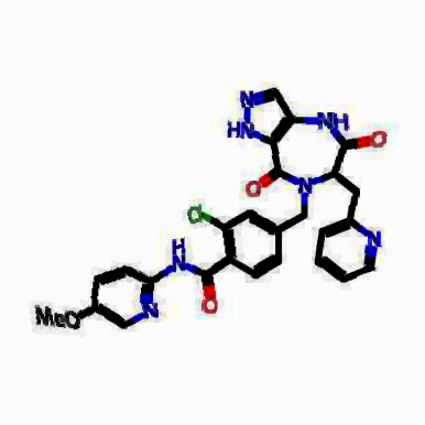 COc1ccc(NC(=O)c2ccc(CN3C(=O)c4[nH]ncc4NC(=O)C3Cc3ccccn3)cc2Cl)nc1